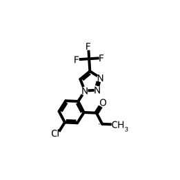 C[CH]C(=O)c1cc(Cl)ccc1-n1cc(C(F)(F)F)nn1